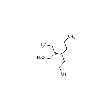 CCC[N+](CCC)N(CC)CC